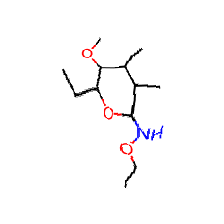 CCONC1OC(CC)C(OC)C(C)C1C